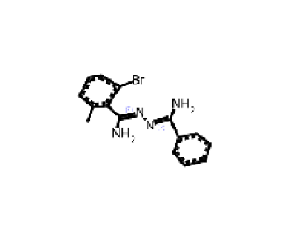 Cc1cccc(Br)c1/C(N)=N/N=C(\N)c1ccccc1